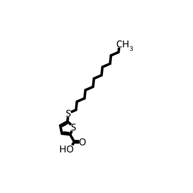 CCCCCCCCCCCCSc1ccc(C(=O)O)s1